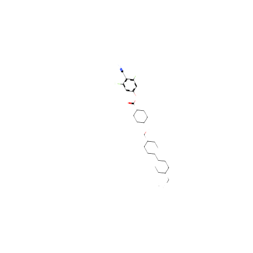 CC[C@H]1CC[C@H]([C@H]2CC[C@H](CO[C@H]3CC[C@H](C(=O)Oc4cc(F)c(C#N)c(F)c4)CC3)CC2)CC1